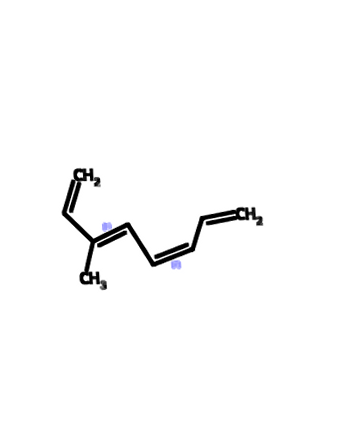 C=C/C=C\C=C(/C)C=C